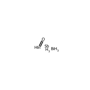 [BiH3].[O]=[InH].[SbH3]